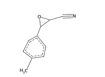 Cc1ccc(C2OC2C#N)cc1